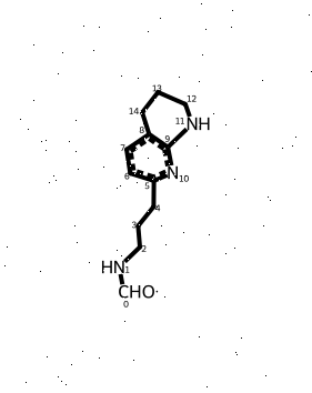 O=[C]NCCCc1ccc2c(n1)NCCC2